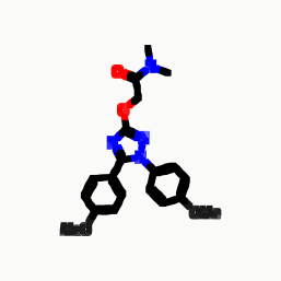 COc1ccc(-c2nc(OCC(=O)N(C)C)nn2-c2ccc(OC)cc2)cc1